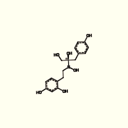 OC[C@](O)(Cc1ccc(O)cc1)N(O)CCc1ccc(O)cc1O